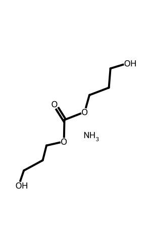 N.O=C(OCCCO)OCCCO